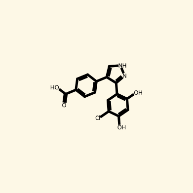 O=C(O)c1ccc(-c2c[nH]nc2-c2cc(Cl)c(O)cc2O)cc1